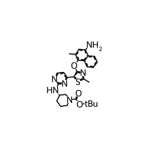 Cc1nc(Oc2c(C)cc(N)c3ccccc23)c(-c2ccnc(N[C@H]3CCCN(C(=O)OC(C)(C)C)C3)n2)s1